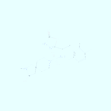 Cc1ccc(F)c([C@@H](C)[C@H](NS(=O)(=O)N2CCC3(CC2)CC(=O)N(C)C3)c2n[nH]c(=O)o2)c1C